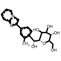 Cc1cc(-c2cn3ccccc3n2)ccc1[C@@H](O)[C@H]1OC(CO)[C@@H](O)C(O)C1O